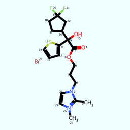 Cc1n(CCCOC(=O)C(O)(c2cccs2)C2CCC(F)(F)C2)cc[n+]1C.[Br-]